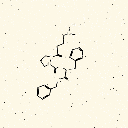 CN(C)CCCC(=O)N1CCCN1C(=O)O[C@@H](Cc1ccccc1)C(=O)OCc1ccccc1